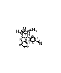 COC(=O)C(C)(C)Sc1nc2ccccc2n1Cc1ccc(C#N)cc1